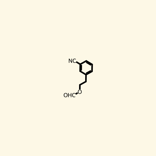 N#Cc1cccc(CCOC=O)c1